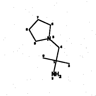 CC(C)(N)CN1CCCC1